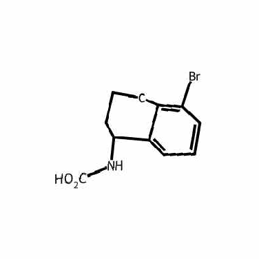 O=C(O)NC1CCCc2c(Br)cccc21